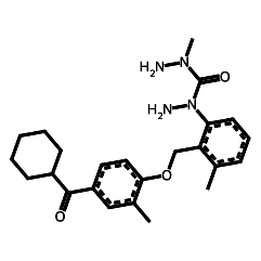 Cc1cc(C(=O)C2CCCCC2)ccc1OCc1c(C)cccc1N(N)C(=O)N(C)N